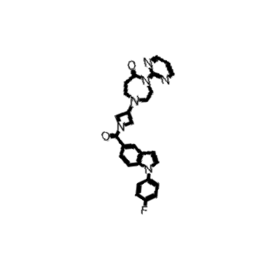 O=C(c1ccc2c(ccn2-c2ccc(F)cc2)c1)N1CC(N2CCC(=O)N(c3ncccn3)CC2)C1